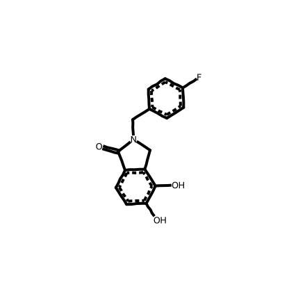 O=C1c2ccc(O)c(O)c2CN1Cc1ccc(F)cc1